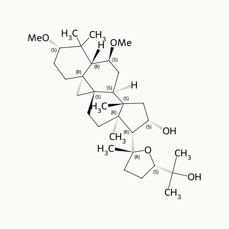 CO[C@H]1C[C@@H]2[C@]3(CC[C@]4(C)[C@@H]([C@@]5(C)CC[C@@H](C(C)(C)O)O5)[C@@H](O)C[C@@]24C)C[C@@]32CC[C@H](OC)C(C)(C)[C@H]12